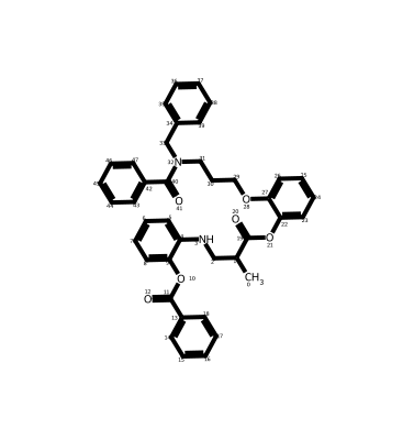 CC(CNc1ccccc1OC(=O)c1ccccc1)C(=O)Oc1ccccc1OCCCN(Cc1ccccc1)C(=O)c1ccccc1